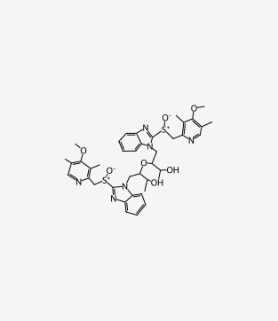 COc1c(C)cnc(C[S+]([O-])c2nc3ccccc3n2CC(OC(Cn2c([S+]([O-])Cc3ncc(C)c(OC)c3C)nc3ccccc32)C(C)O)C(C)O)c1C